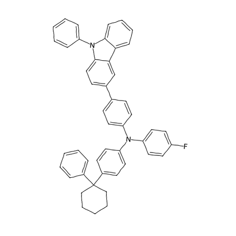 Fc1ccc(N(c2ccc(-c3ccc4c(c3)c3ccccc3n4-c3ccccc3)cc2)c2ccc(C3(c4ccccc4)CCCCC3)cc2)cc1